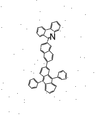 c1ccc(-c2c3ccccc3c(-c3ccccc3)c3cc(-c4ccc5cc(-c6nc7ccccc7c7ccccc67)ccc5c4)ccc23)cc1